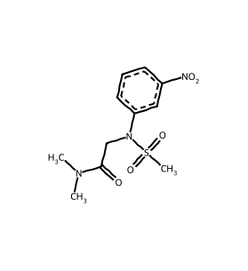 CN(C)C(=O)CN(c1cccc([N+](=O)[O-])c1)S(C)(=O)=O